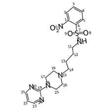 O=[N+]([O-])c1ccccc1S(=O)(=O)NCCCCN1CCN(c2ncccn2)CC1